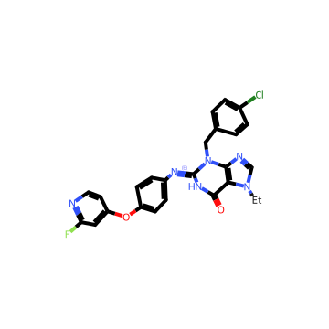 CCn1cnc2c1c(=O)[nH]/c(=N\c1ccc(Oc3ccnc(F)c3)cc1)n2Cc1ccc(Cl)cc1